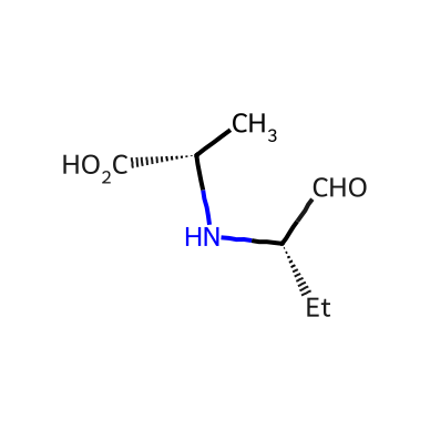 CC[C@@H](C=O)N[C@@H](C)C(=O)O